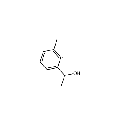 Cc1[c]c(C(C)O)ccc1